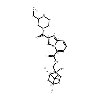 CC1(C)[C@H]2CC[C@@H](CNC(=O)c3cccc4nc(C(=O)N5CCOC(CN)C5)cn34)[C@@H]1C2